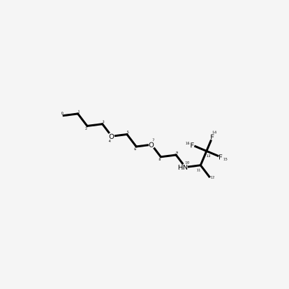 CCCCOCCOCCNC(C)C(F)(F)F